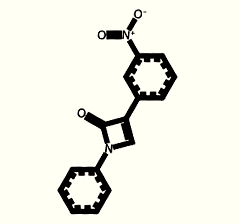 O=C1C(c2cccc([N+](=O)[O-])c2)=CN1c1ccccc1